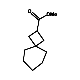 COC(=O)C1CC2(CCCCC2)C1